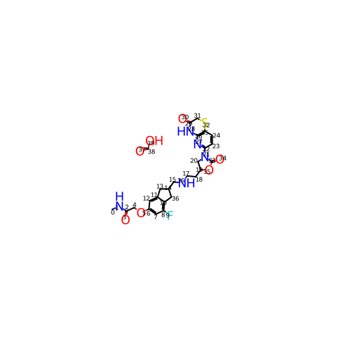 CNC(=O)COc1cc(F)c2c(c1)CC(CNCCC1CN(c3ccc4c(n3)NC(=O)CS4)C(=O)O1)C2.O=CO